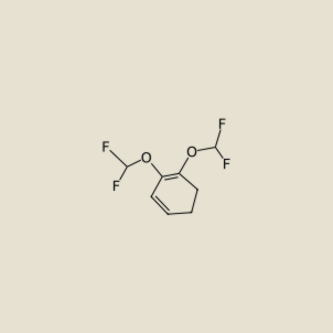 FC(F)OC1=C(OC(F)F)CCC=C1